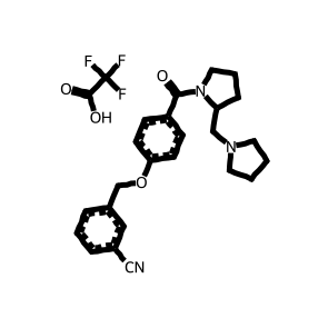 N#Cc1cccc(COc2ccc(C(=O)N3CCCC3CN3CCCC3)cc2)c1.O=C(O)C(F)(F)F